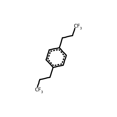 FC(F)(F)CCc1ccc(CCC(F)(F)F)cc1